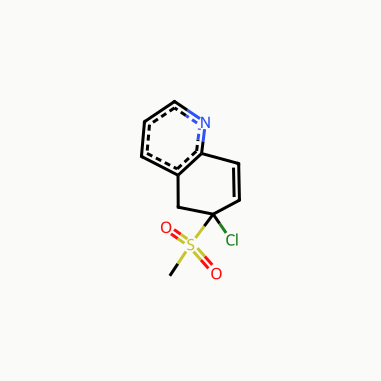 CS(=O)(=O)C1(Cl)C=Cc2ncccc2C1